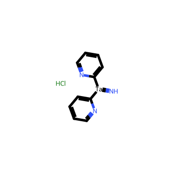 Cl.[NH]=[Ta]([c]1ccccn1)[c]1ccccn1